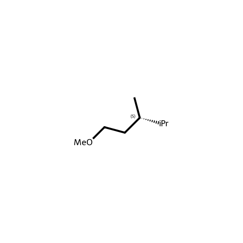 COCC[C@H](C)C(C)C